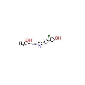 CC(O)CCC/C=C/c1ccc(-c2ccc(-c3ccc(O)cc3F)cc2)cn1